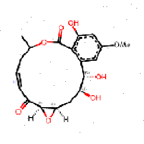 COc1cc(O)c2c(c1)[C@H](O)[C@@H](O)C[C@H]1O[C@H]1C(=O)/C=C\CC(C)OC2=O